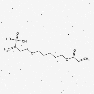 C=CC(=O)OCCCCCOOCC(=C)P(=O)(O)O